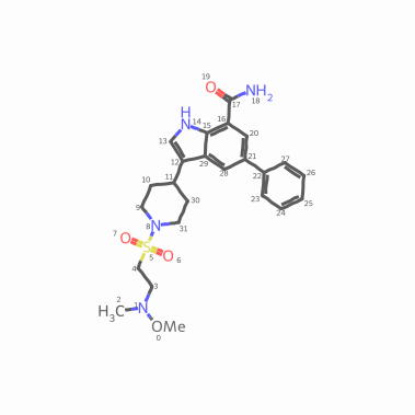 CON(C)CCS(=O)(=O)N1CCC(c2c[nH]c3c(C(N)=O)cc(-c4ccccc4)cc23)CC1